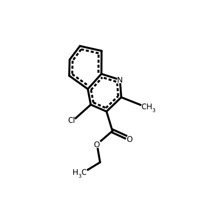 CCOC(=O)c1c(C)nc2ccccc2c1Cl